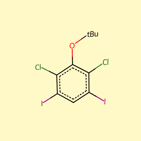 CC(C)(C)Oc1c(Cl)c(I)cc(I)c1Cl